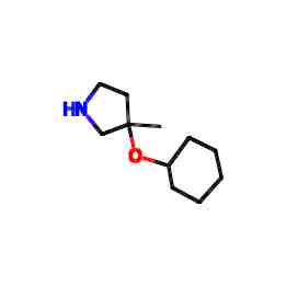 CC1(OC2CCCCC2)CCNC1